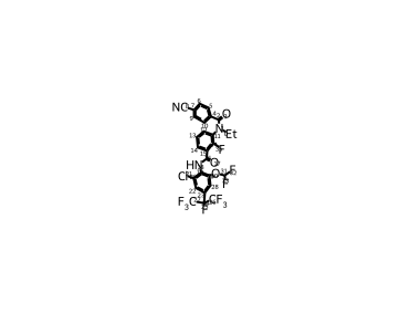 CCN(C(=O)c1ccc(C#N)cc1)c1cccc(C(=O)Nc2c(Cl)cc(C(F)(C(F)(F)F)C(F)(F)F)cc2OC(F)F)c1F